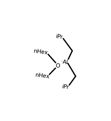 CC(C)[CH2][Al][CH2]C(C)C.CCCCCCOCCCCCC